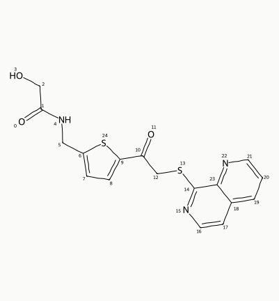 O=C(CO)NCc1ccc(C(=O)CSc2nccc3cccnc23)s1